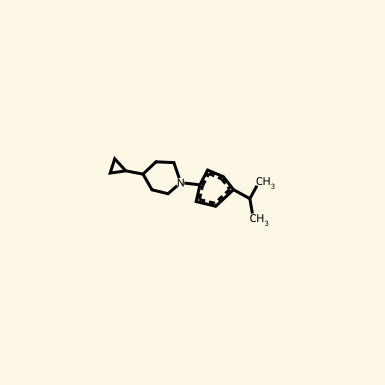 CC(C)c1ccc(N2CCC(C3CC3)CC2)cc1